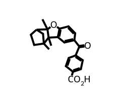 CC12CCC(C1)C1(C)Oc3ccc(C(=O)c4ccc(C(=O)O)cc4)cc3C21C